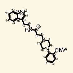 COc1ccccc1N1CCN(CCC(=O)NCCc2c[nH]c3ccccc23)CC1